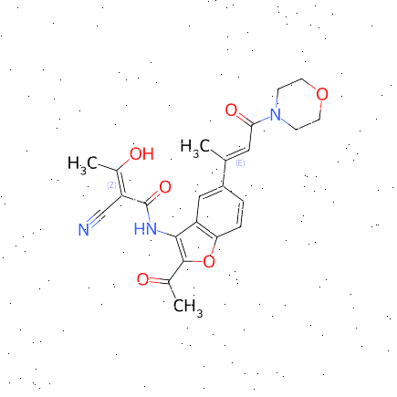 CC(=O)c1oc2ccc(/C(C)=C/C(=O)N3CCOCC3)cc2c1NC(=O)/C(C#N)=C(/C)O